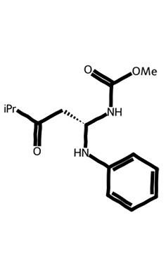 COC(=O)N[C@@H](CC(=O)C(C)C)Nc1ccccc1